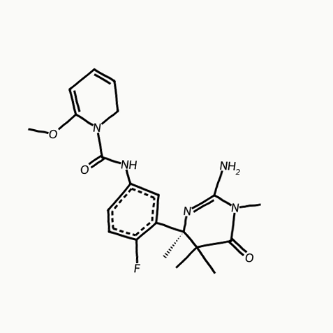 COC1=CC=CCN1C(=O)Nc1ccc(F)c([C@@]2(C)N=C(N)N(C)C(=O)C2(C)C)c1